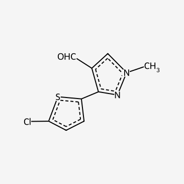 Cn1cc(C=O)c(-c2ccc(Cl)s2)n1